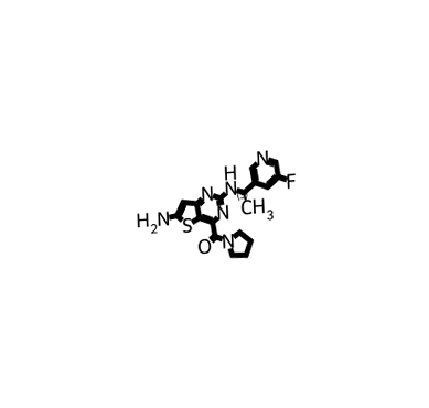 C[C@H](Nc1nc(C(=O)N2CCCC2)c2sc(N)cc2n1)c1cncc(F)c1